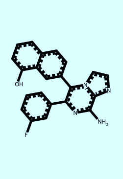 Nc1nc(-c2cccc(F)c2)c(-c2ccc3cccc(O)c3c2)n2ccnc12